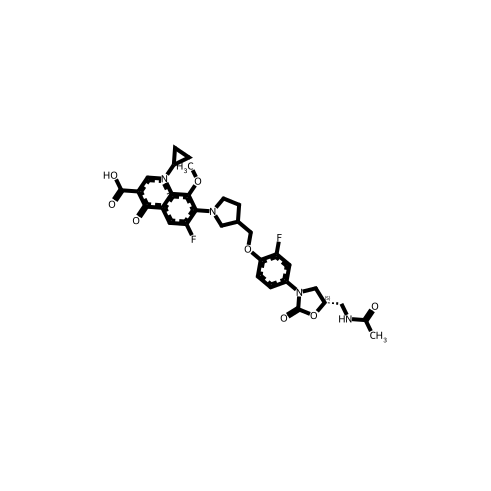 COc1c(N2CCC(COc3ccc(N4C[C@H](CNC(C)=O)OC4=O)cc3F)C2)c(F)cc2c(=O)c(C(=O)O)cn(C3CC3)c12